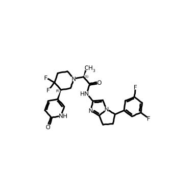 C[C@@H](C(=O)Nc1cn2c(n1)CCC2c1cc(F)cc(F)c1)N1CCC(F)(F)[C@H](c2ccc(=O)[nH]c2)C1